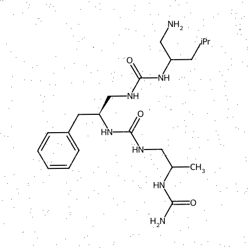 CC(C)CC(CN)NC(=O)NC[C@H](Cc1ccccc1)NC(=O)NCC(C)NC(N)=O